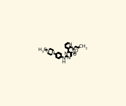 C=CCN1c2ncccc2-c2nc(Nc3ccc(N4CCN(C)CC4)cc3)ncc2S1(=O)=O